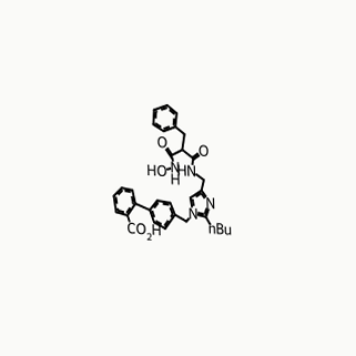 CCCCc1nc(CNC(=O)C(Cc2ccccc2)C(=O)NO)cn1Cc1ccc(-c2ccccc2C(=O)O)cc1